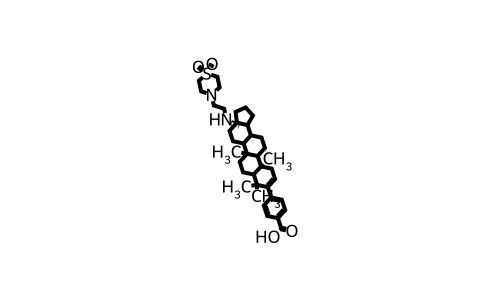 CC1(C)C(c2ccc(C(=O)O)cc2)=CCC2(C)C1CCC1(C)C3CC[C@@]4(NCCN5CCS(=O)(=O)CC5)CCCC4C3CCC12